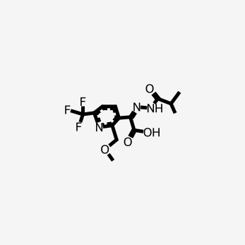 COCc1nc(C(F)(F)F)ccc1C(=NNC(=O)C(C)C)C(=O)O